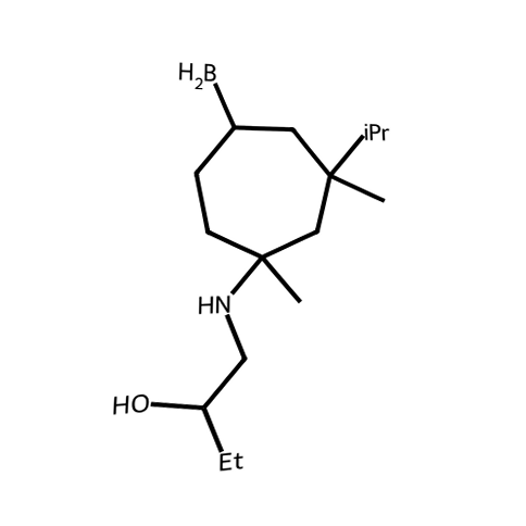 BC1CCC(C)(NCC(O)CC)CC(C)(C(C)C)C1